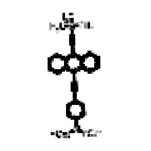 CCCCCCCCN(CCCCCCCC)c1ccc(C#Cc2c3ccccc3c(C#C[Si](C)(C)C)c3ccccc23)cc1